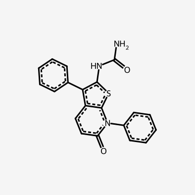 NC(=O)Nc1sc2c(ccc(=O)n2-c2ccccc2)c1-c1ccccc1